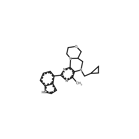 Cc1nc(-c2cccc3[nH]ccc23)nc2c1N(CC1CC1)CC1COCCN21